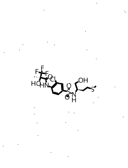 CSCC[C@H](CO)NS(=O)(=O)c1ccc(NC(=O)[C@@](C)(O)C(F)(F)F)c(Cl)c1